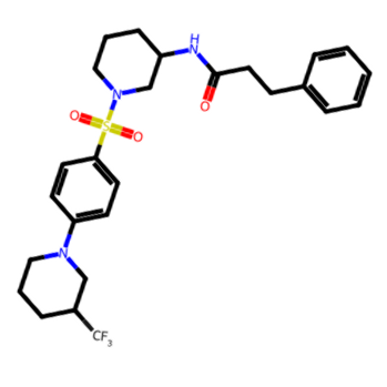 O=C(CCc1ccccc1)NC1CCCN(S(=O)(=O)c2ccc(N3CCCC(C(F)(F)F)C3)cc2)C1